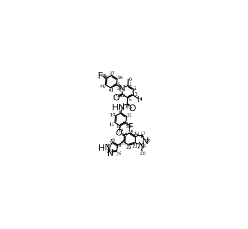 Cc1cc(I)c(C(=O)Nc2ccc(Oc3cc4cnn(C)c4cc3-c3cn[nH]c3)c(F)c2)c(=O)n1-c1ccc(F)cc1